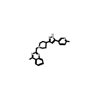 Cc1ccc(-c2cc(C3CCN(Cc4nc(C)c5ccccc5n4)CC3)n[nH]2)cn1